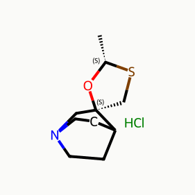 C[C@H]1O[C@]2(CS1)CN1CCC2CC1.Cl